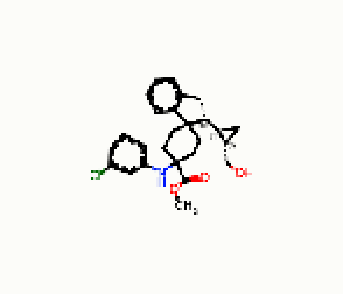 COC(=O)C1(Nc2cccc(Cl)c2)CCC2(CC1)c1ccccc1C[C@@H]2[C@H]1C[C@@H]1CO